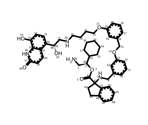 NC[C@H](OC(=O)C1(NCc2cccc(OCc3cccc(OCCCCNC[C@H](O)c4ccc(O)c5[nH]c(=O)ccc45)c3)c2)CCc2ccccc21)C1CCCCC1